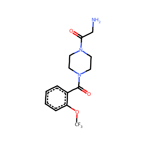 NCC(=O)N1CCN(C(=O)c2ccccc2OC(F)(F)F)CC1